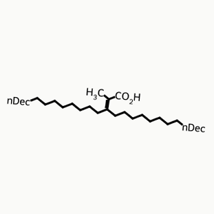 CCCCCCCCCCCCCCCCCCC(CCCCCCCCCCCCCCCCCC)=C(C)C(=O)O